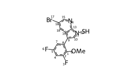 COc1c(F)cc(F)cc1-c1cn(S)c2ncc(Br)cc12